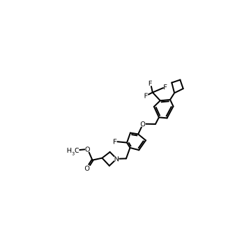 COC(=O)C1CN(Cc2ccc(OCc3ccc(C4CCC4)c(C(F)(F)F)c3)cc2F)C1